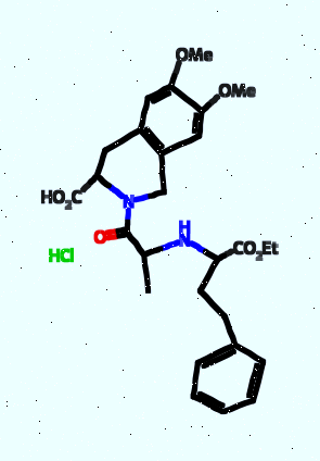 CCOC(=O)C(CCc1ccccc1)NC(C)C(=O)N1Cc2cc(OC)c(OC)cc2CC1C(=O)O.Cl